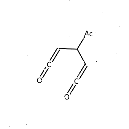 CC(=O)C(C=C=O)C=C=O